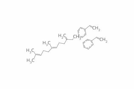 C=C(CC)CC/C=C(\C)CCC=C(C)C.C=Cc1ccccc1.C=Cc1ccccc1